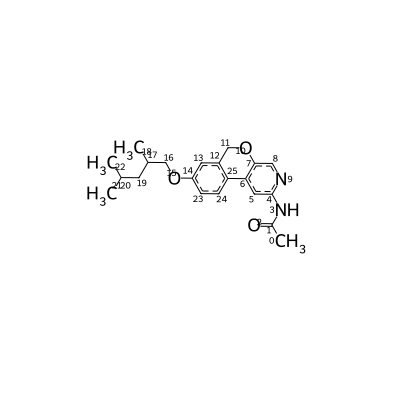 CC(=O)Nc1cc2c(cn1)OCc1cc(OCC(C)CC(C)C)ccc1-2